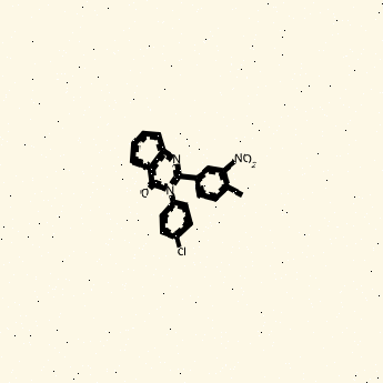 Cc1ccc(-c2nc3ccccc3c(=O)n2-c2ccc(Cl)cc2)cc1[N+](=O)[O-]